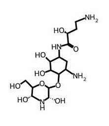 NCC[C@H](O)C(=O)NC1CC(N)C(OC2OC(CO)[C@@H](O)N[C@H]2O)C(O)C1O